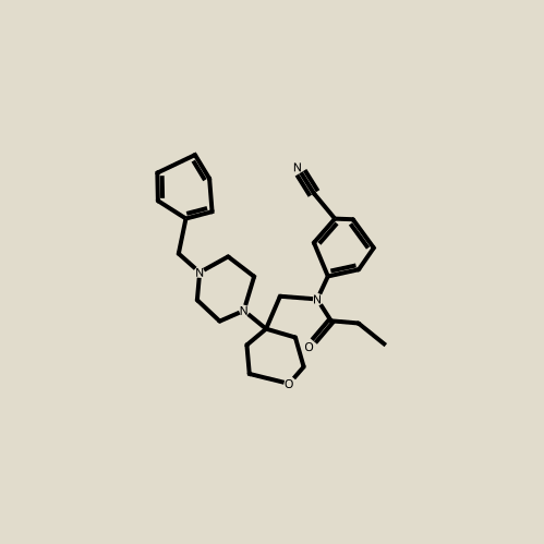 CCC(=O)N(CC1(N2CCN(Cc3ccccc3)CC2)CCOCC1)c1cccc(C#N)c1